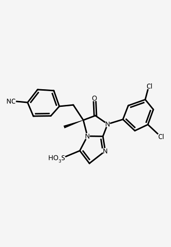 C[C@@]1(Cc2ccc(C#N)cc2)C(=O)N(c2cc(Cl)cc(Cl)c2)c2ncc(S(=O)(=O)O)n21